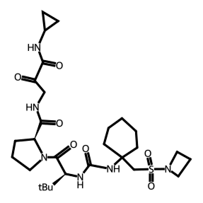 CC(C)(C)[C@H](NC(=O)NC1(CS(=O)(=O)N2CCC2)CCCCC1)C(=O)N1CCC[C@H]1C(=O)NCC(=O)C(=O)NC1CC1